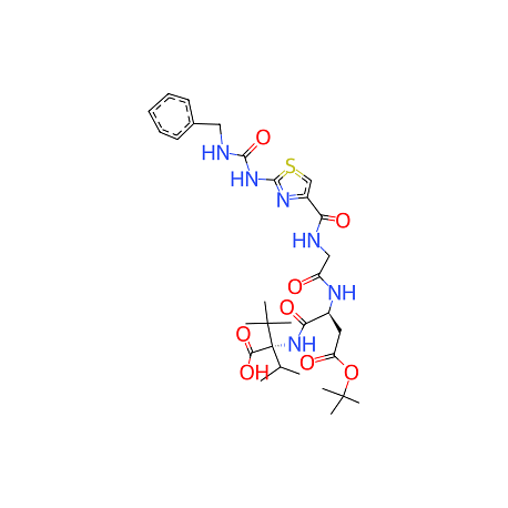 CC(C)[C@@](NC(=O)[C@H](CC(=O)OC(C)(C)C)NC(=O)CNC(=O)c1csc(NC(=O)NCc2ccccc2)n1)(C(=O)O)C(C)(C)C